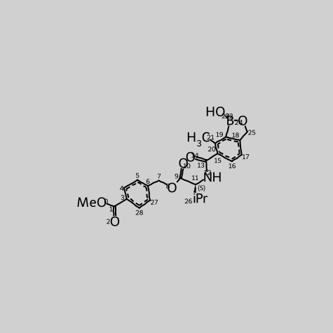 COC(=O)c1ccc(COC(=O)[C@@H](NC(=O)c2ccc3c(c2C)B(O)OC3)C(C)C)cc1